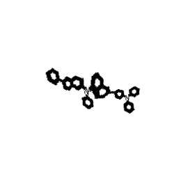 c1ccc(-c2ccc3cc(N(c4ccccc4)c4cccc5cc(-c6ccc(N(c7ccccc7)c7ccccc7)cc6)ccc45)ccc3c2)cc1